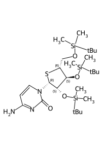 CC(C)(C)[Si](C)(C)OC[C@H]1S[C@@H](n2ccc(N)nc2=O)[C@@H](O[Si](C)(C)C(C)(C)C)[C@@H]1O[Si](C)(C)C(C)(C)C